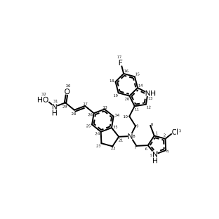 Cc1c(Cl)c[nH]c1CN(CCc1c[nH]c2cc(F)ccc12)C1CCc2cc(C=CC(=O)NO)ccc21